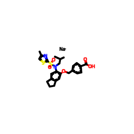 Cc1csc(S(=O)(=O)N(CC(C)C)c2cc3c(cc2OCc2ccc(C(=O)O)cc2)CCC3)n1.[Na]